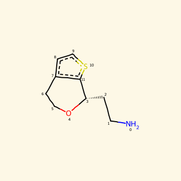 NCC[C@@H]1OCCc2ccsc21